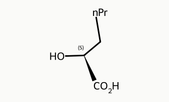 CCCC[C@H](O)C(=O)O